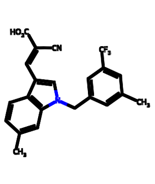 Cc1cc(Cn2cc(/C=C(\C#N)C(=O)O)c3ccc(C)cc32)cc(C(F)(F)F)c1